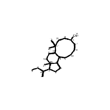 CCC(C)C1CCC2C3CCCCC(O)CCC(C)(C)C3CCC12C